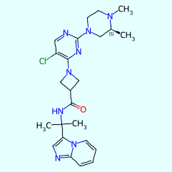 C[C@H]1CN(c2ncc(Cl)c(N3CC(C(=O)NC(C)(C)c4cnc5ccccn45)C3)n2)CCN1C